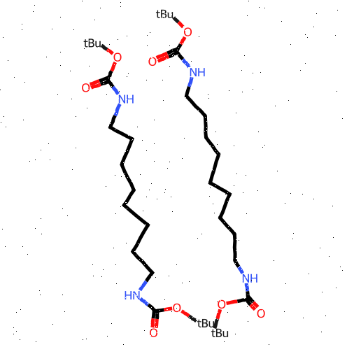 CC(C)(C)OC(=O)NCCCCCCCCCNC(=O)OC(C)(C)C.CC(C)(C)OC(=O)NCCCCCCCCNC(=O)OC(C)(C)C